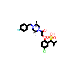 CC(C)C(c1cc(Cl)ccc1OCC(=O)N1C[C@H](C)N(Cc2ccc(F)cc2)C[C@H]1C)S(=O)(=O)O